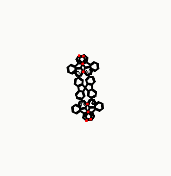 c1ccc2c(c1)-c1ccccc1N(c1ccc3c(c1)C1(c4cc(N5c6ccccc6-c6ccccc6-c6ccccc65)ccc4-3)c3cc(N4c5ccccc5-c5ccccc5-c5ccccc54)ccc3-c3ccc(N4c5ccccc5-c5ccccc5-c5ccccc54)cc31)c1ccccc1-2